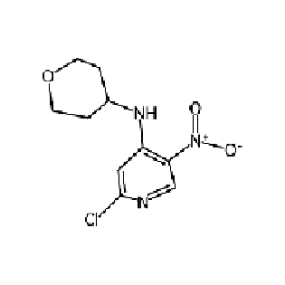 O=[N+]([O-])c1cnc(Cl)cc1NC1CCOCC1